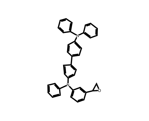 c1ccc(N(c2ccccc2)c2ccc(-c3ccc(N(c4ccccc4)c4cccc(C5CO5)c4)cc3)cc2)cc1